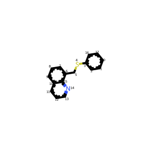 c1ccc(SCc2cccc3cccnc23)cc1